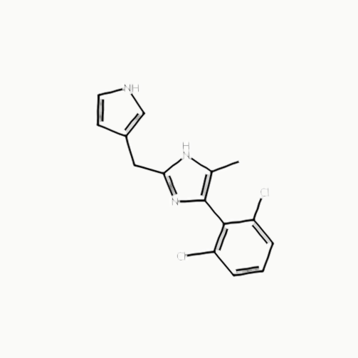 Cc1[nH]c(Cc2cc[nH]c2)nc1-c1c(Cl)cccc1Cl